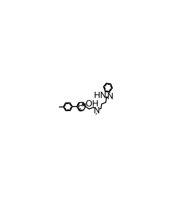 Cc1ccc(C2=CC3CCC2CC3(O)CCN(C)CCCc2nc3ccccc3[nH]2)cc1